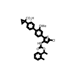 COc1cc(-c2sc(Cl)cc2NC(=O)OC(C)c2ccccc2C)ccc1-c1ccc(C2(C(=O)O)CC2)cc1